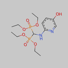 CCOP(=O)(OCC)C(Nc1ccc(O)cn1)P(=O)(OCC)OCC